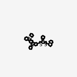 c1ccc(-n2c3ccccc3c3cc4c(cc32)c2cc(-c3cc5c(s3)c3sc(-c6cccc7ccccc67)cc3n5-c3ccccc3)ccc2n4-c2ccccc2)cc1